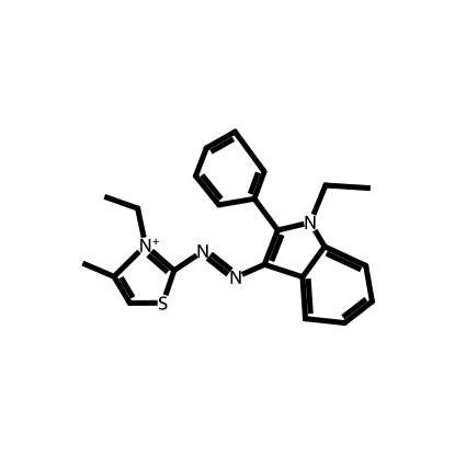 CCn1c(-c2ccccc2)c(N=Nc2scc(C)[n+]2CC)c2ccccc21